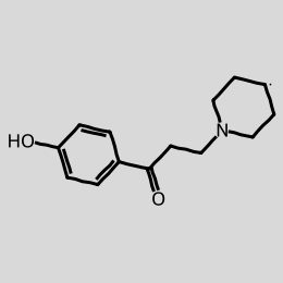 O=C(CCN1CC[CH]CC1)c1ccc(O)cc1